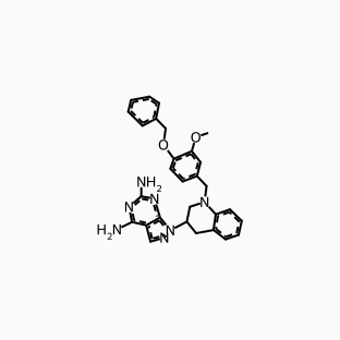 COc1cc(CN2CC(n3ncc4c(N)nc(N)nc43)Cc3ccccc32)ccc1OCc1ccccc1